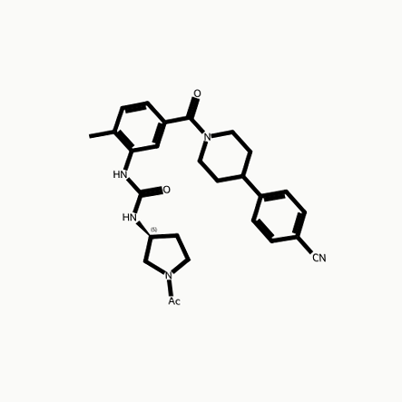 CC(=O)N1CC[C@H](NC(=O)Nc2cc(C(=O)N3CCC(c4ccc(C#N)cc4)CC3)ccc2C)C1